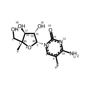 C[C@]1(CO)O[C@@H](n2cc(F)c(N)nc2=O)[C@@H](O)[C@@H]1O